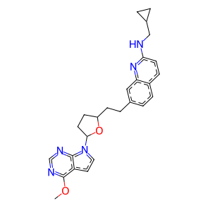 COc1ncnc2c1ccn2C1CCC(CCc2ccc3ccc(NCC4CC4)nc3c2)O1